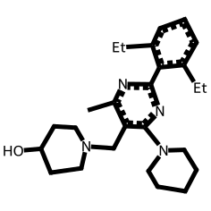 CCc1cccc(CC)c1-c1nc(C)c(CN2CCC(O)CC2)c(N2CCCCC2)n1